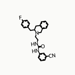 N#Cc1cccc(NC(=O)NCCN2Cc3ccccc3CC2Cc2ccc(F)cc2)c1